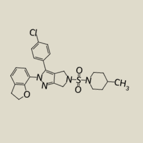 CC1CCN(S(=O)(=O)N2Cc3nn(-c4cccc5c4OCC5)c(-c4ccc(Cl)cc4)c3C2)CC1